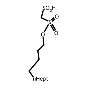 CCCCCCCCCCCOS(=O)(=O)CS(=O)(=O)O